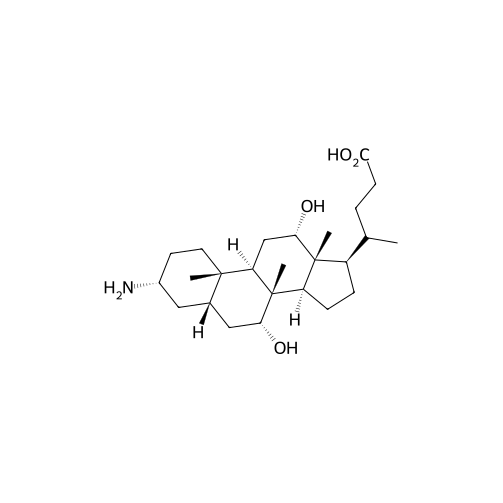 CC(CCC(=O)O)[C@H]1CC[C@@H]2[C@]1(C)[C@@H](O)C[C@@H]1[C@@]3(C)CC[C@@H](N)C[C@H]3C[C@@H](O)[C@@]21C